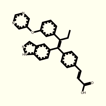 CCC(=C(c1ccc(C=CC(=O)O)cc1)c1ccc2[nH]ncc2c1)c1cccc(Oc2cncnc2)c1